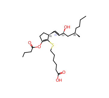 CCCC[C@@H](C)C[C@H](O)/C=C/[C@@H]1CCC(OC(=O)CCC)=C1SCCCCCC(=O)O